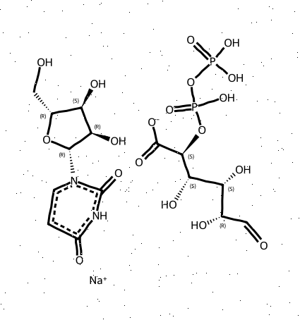 O=C[C@H](O)[C@@H](O)[C@H](O)[C@H](OP(=O)(O)OP(=O)(O)O)C(=O)[O-].O=c1ccn([C@@H]2O[C@H](CO)[C@@H](O)[C@H]2O)c(=O)[nH]1.[Na+]